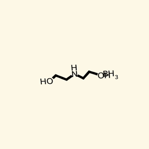 B.OCCNCCO